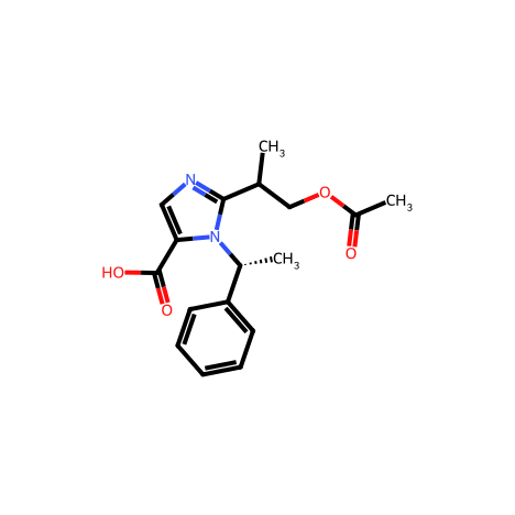 CC(=O)OCC(C)c1ncc(C(=O)O)n1[C@H](C)c1ccccc1